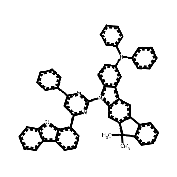 CC1(C)c2ccccc2-c2cc3c4cc(N(c5ccccc5)c5ccccc5)ccc4n(-c4nc(-c5ccccc5)cc(-c5cccc6c5oc5ccccc56)n4)c3cc21